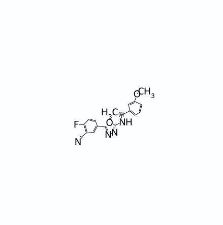 COc1cccc([C@@H](C)Nc2nnc(-c3ccc(F)c(C#N)c3)o2)c1